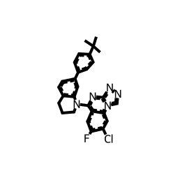 CC(C)(C)c1ccc(-c2ccc3c(c2)N(c2nc4nncn4c4cc(Cl)c(F)cc24)CCC3)cc1